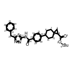 CC(C)(C)OC(=O)C1CC12CCC(c1ccc(C(=O)Nc3nnc(Cc4ccccc4)s3)cc1)CC2